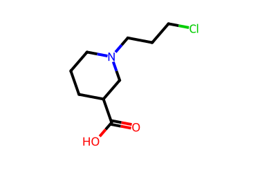 O=C(O)C1CCCN(CCCCl)C1